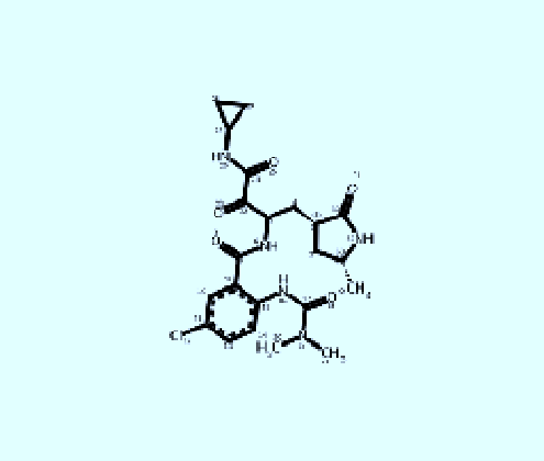 C[C@@H]1C[C@@H](CC(NC(=O)c2cc(Cl)ccc2NC(=O)N(C)C)C(=O)C(=O)NC2CC2)C(=O)N1